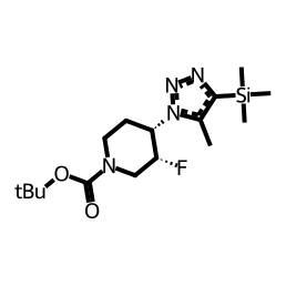 Cc1c([Si](C)(C)C)nnn1[C@H]1CCN(C(=O)OC(C)(C)C)C[C@H]1F